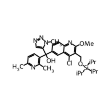 COc1nc2ccc(C(O)(c3ccc(C)nc3C)c3cnnn3C)cc2c(Cl)c1CO[Si](C(C)C)(C(C)C)C(C)C